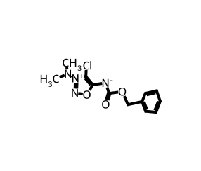 CN(C)[n+]1noc([N-]C(=O)OCc2ccccc2)c1Cl